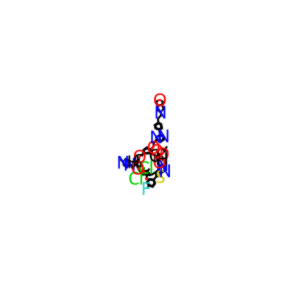 Cc1c(Cl)c2c(Cl)c(C)c1-c1c(-c3ccc(F)cc3)sc3ncnc(c13)O[C@@H](C(=O)OC(C)(C)C)Cc1cc(ccc1OCc1ccnc(-c3ccc(CCN4CC5COCC5C4)cc3)n1)OC[C@@H](CN1CCN(C)CC1)O2